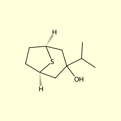 CC(C)C1(O)C[C@H]2CC[C@@H](C1)S2